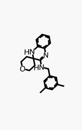 Cc1cc(C)cc(CNC2=Nc3ccccc3NC23CCOCC3)c1